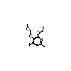 CCOc1nc(C)cc(I)c1OCOC